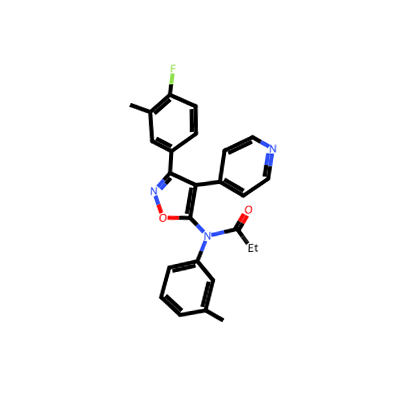 CCC(=O)N(c1cccc(C)c1)c1onc(-c2ccc(F)c(C)c2)c1-c1ccncc1